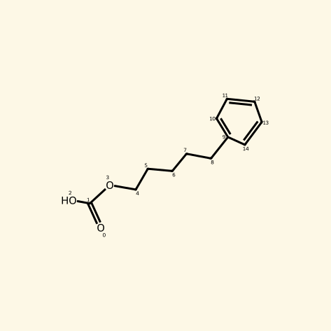 O=C(O)OCCCCCc1ccccc1